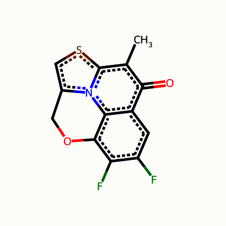 Cc1c(=O)c2cc(F)c(F)c3c2n2c(csc12)CO3